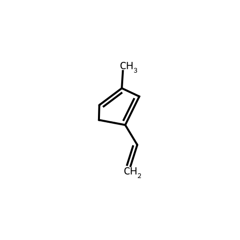 C=CC1=CC(C)=CC1